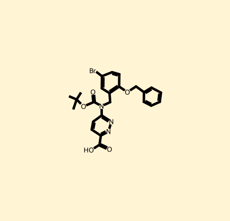 CC(C)(C)OC(=O)N(Cc1cc(Br)ccc1OCc1ccccc1)c1ccc(C(=O)O)nn1